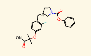 CC(C)(Oc1ccc(C[C@H]2CCN(C(=O)Oc3ccccc3)C2)c(F)c1)C(=O)N=O